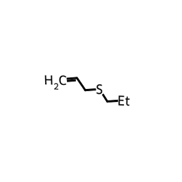 C=CCSCCC